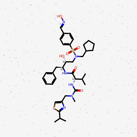 CC(C)c1nc(CN(C)C(=O)N[C@H](C(=O)N[C@@H](Cc2ccccc2)[C@H](O)CN(CC2CCCC2)S(=O)(=O)c2ccc(/C=N/O)cc2)C(C)C)cs1